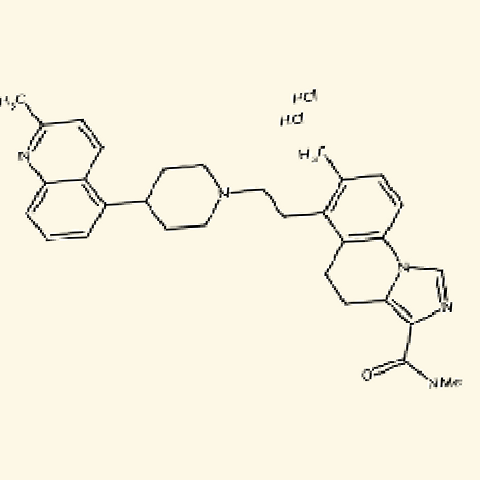 CNC(=O)c1ncn2c1CCc1c-2ccc(C)c1CCN1CCC(c2cccc3nc(C)ccc23)CC1.Cl.Cl